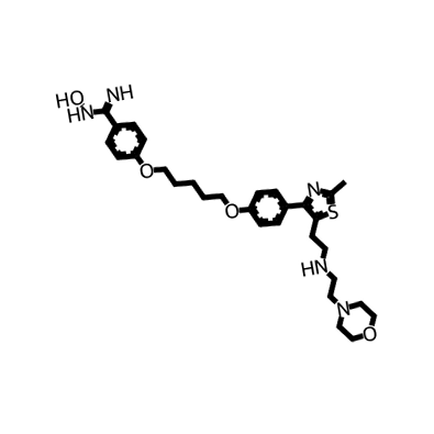 Cc1nc(-c2ccc(OCCCCCOc3ccc(C(=N)NO)cc3)cc2)c(CCNCCN2CCOCC2)s1